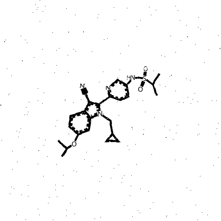 CC(C)Oc1ccc2c(C#N)c(-c3ccc(NS(=O)(=O)C(C)C)cn3)n(CC3CC3)c2c1